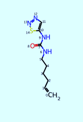 C=CCCCCNC(=O)Nc1cnns1